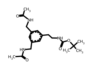 CC(=O)NCc1cc(CCNC(=O)OC(C)(C)C)cc(CNC(C)=O)c1